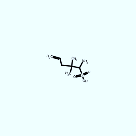 C=CCC(C)(C)C(N)S(=O)(=O)O